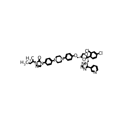 CCC(C)n1ncn(-c2ccc(N3CCN(c4ccc(OC[C@@H]5CO[C@@](Cn6nnnc6-c6cccnc6)(c6ccc(Cl)cc6Cl)O5)cc4)CC3)cc2)c1=O